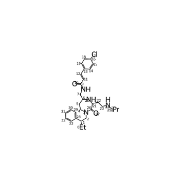 CC[C@H](CN1CC[C@@H](CNC(=O)/C=C/c2ccc(Cl)cc2)N[C@@H](CCNC(C)C)C1=O)c1ccccc1